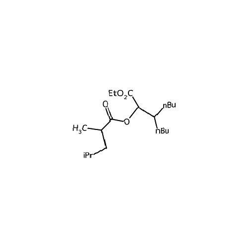 CCCCC(CCCC)C(OC(=O)C(C)CC(C)C)C(=O)OCC